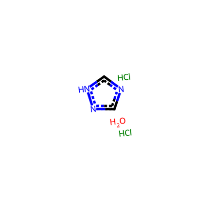 Cl.Cl.O.c1nc[nH]n1